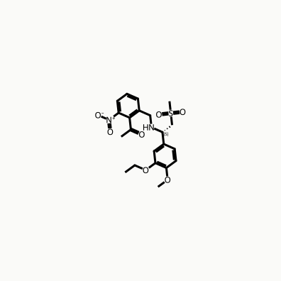 CCOc1cc([C@@H](CS(C)(=O)=O)NCc2cccc([N+](=O)[O-])c2C(C)=O)ccc1OC